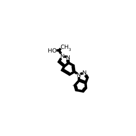 CC(O)n1cc2ccc(-n3ncc4ccc[c]c43)cc2n1